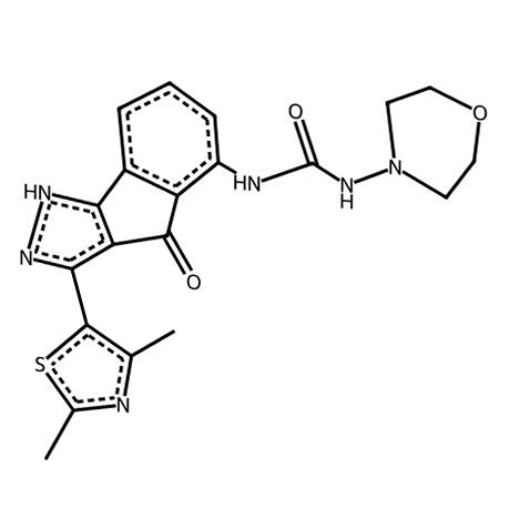 Cc1nc(C)c(-c2n[nH]c3c2C(=O)c2c(NC(=O)NN4CCOCC4)cccc2-3)s1